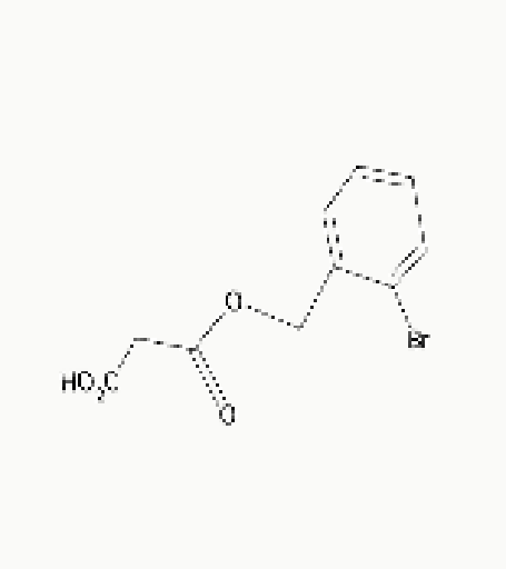 O=C(O)CC(=O)OCc1ccccc1Br